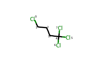 ClCC[CH]C(Cl)(Cl)Cl